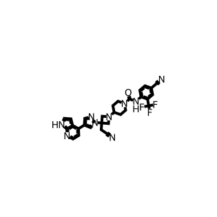 N#CCC1(n2cc(-c3ccnc4[nH]ccc34)cn2)CN(C2CCN(C(=O)Nc3ccc(C#N)cc3C(F)(F)F)CC2)C1